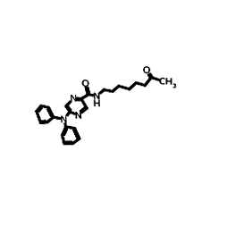 CC(=O)CCCCCCNC(=O)c1cnc(N(c2ccccc2)c2ccccc2)cn1